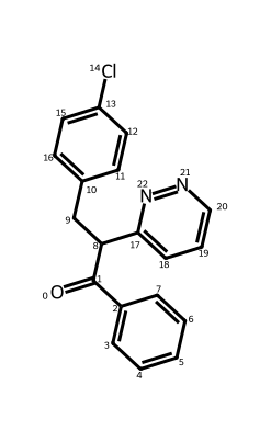 O=C(c1ccccc1)C(Cc1ccc(Cl)cc1)c1cccnn1